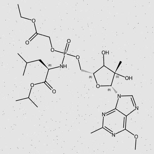 CCOC(=O)COP(=O)(N[C@H](CC(C)C)C(=O)OC(C)C)OC[C@H]1O[C@@H](n2cnc3c(OC)nc(C)nc32)[C@@](C)(O)C1O